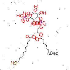 CCCCCCCCCCCCCCCC(=O)O[C@H](COC(=O)CCCCCCCCCS)COP(=O)(O)OC1C(O)[C@@H](OP(=O)(O)O)C(O)[C@@H](O)[C@H]1O